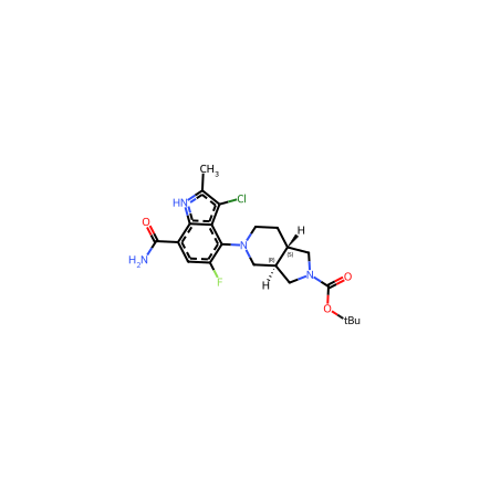 Cc1[nH]c2c(C(N)=O)cc(F)c(N3CC[C@@H]4CN(C(=O)OC(C)(C)C)C[C@H]4C3)c2c1Cl